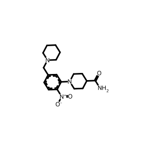 NC(=O)C1CCN(c2cc(CN3CCCCC3)ccc2[N+](=O)[O-])CC1